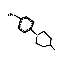 CCCc1ccc(N2CCC(C)CC2)cc1